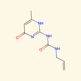 C=CCNC(=O)Nc1nc(=O)cc(C)[nH]1